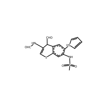 CS(=O)(=O)Nc1cc2c(cc1[SH]1C=CC=C1)C(C=O)C(NC=O)=CS2